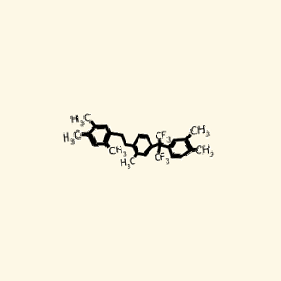 Cc1ccc(C(c2ccc(CCc3cc(C)c(C)cc3C)c(C)c2)(C(F)(F)F)C(F)(F)F)cc1C